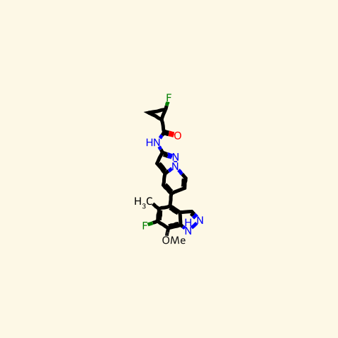 COc1c(F)c(C)c(-c2ccn3nc(NC(=O)C4CC4F)cc3c2)c2cn[nH]c12